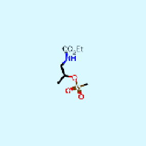 CCOC(=O)NCC(C)OS(C)(=O)=O